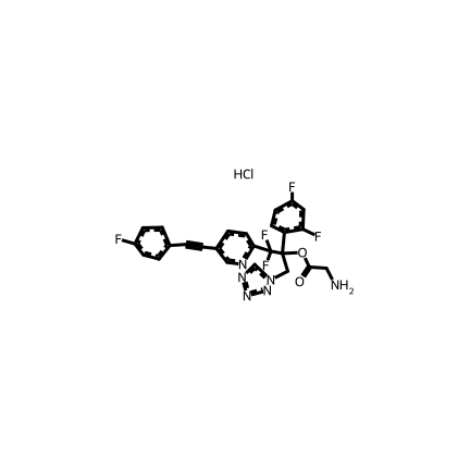 Cl.NCC(=O)OC(Cn1cnnn1)(c1ccc(F)cc1F)C(F)(F)c1ccc(C#Cc2ccc(F)cc2)cn1